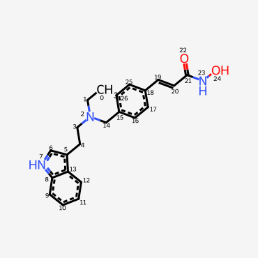 CCN(CCc1c[nH]c2ccccc12)Cc1ccc(/C=C/C(=O)NO)cc1